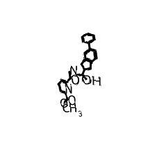 COC(=O)c1cccc(-c2cnc(C(O)C3Cc4ccc(-c5ccccc5)cc4C3)o2)n1